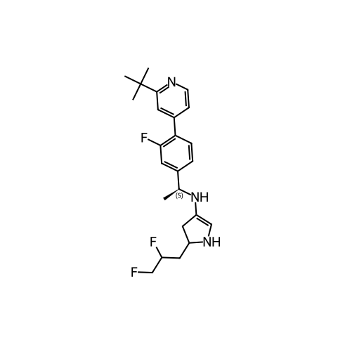 C[C@H](NC1=CNC(CC(F)CF)C1)c1ccc(-c2ccnc(C(C)(C)C)c2)c(F)c1